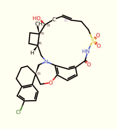 C[C@]12CC[C@H]1CN1C[C@@]3(CCCc4cc(Cl)ccc43)COc3ccc(cc31)C(=O)NS(=O)(=O)CC/C=C/C[C@@H]2O